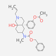 C=CCN1CC[C@@]2(c3cccc(OC(C)=O)c3)C[C@@H](N(C)C(=O)OCc3ccccc3)CC[C@]2(O)C1